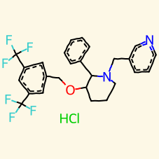 Cl.FC(F)(F)c1cc(COC2CCCN(Cc3cccnc3)C2c2ccccc2)cc(C(F)(F)F)c1